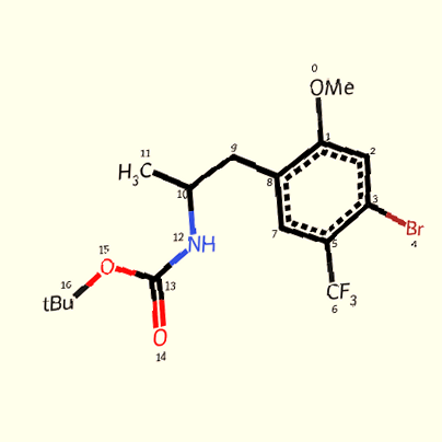 COc1cc(Br)c(C(F)(F)F)cc1CC(C)NC(=O)OC(C)(C)C